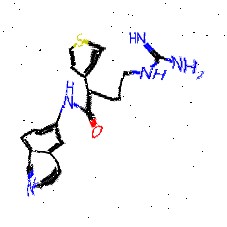 N=C(N)NCCC(C(=O)Nc1ccc2cnccc2c1)c1ccsc1